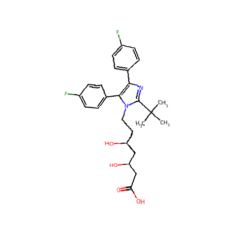 CC(C)(C)c1nc(-c2ccc(F)cc2)c(-c2ccc(F)cc2)n1CCC(O)CC(O)CC(=O)O